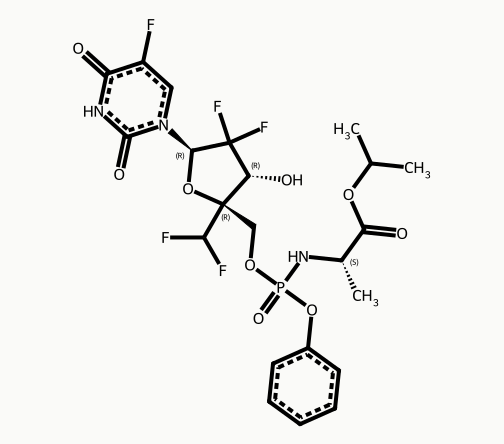 CC(C)OC(=O)[C@H](C)NP(=O)(OC[C@@]1(C(F)F)O[C@@H](n2cc(F)c(=O)[nH]c2=O)C(F)(F)[C@@H]1O)Oc1ccccc1